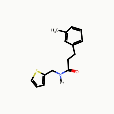 CCN(Cc1cccs1)C(=O)CCc1cccc(C)c1